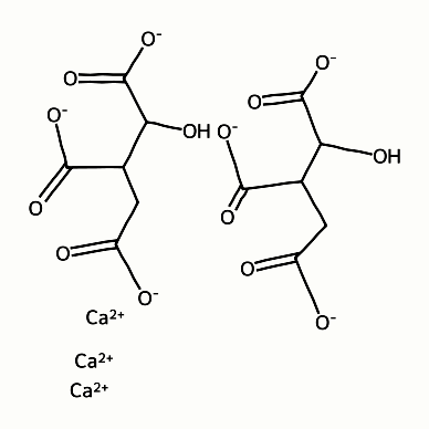 O=C([O-])CC(C(=O)[O-])C(O)C(=O)[O-].O=C([O-])CC(C(=O)[O-])C(O)C(=O)[O-].[Ca+2].[Ca+2].[Ca+2]